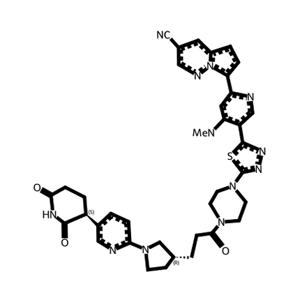 CNc1cc(-c2ccc3cc(C#N)cnn23)ncc1-c1nnc(N2CCN(C(=O)CC[C@@H]3CCN(c4ccc([C@@H]5CCC(=O)NC5=O)cn4)C3)CC2)s1